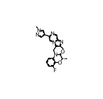 Cc1nc2cnc(-c3cnn(C)c3)cn2c1CN1C(=O)[C@@H](C)Oc2c(F)cccc21